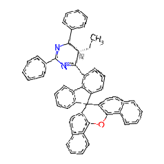 CC[C@@H]1C(c2cccc3c2-c2ccccc2C32c3ccc4ccccc4c3Oc3c2ccc2ccccc32)=NC(c2ccccc2)=NC1c1ccccc1